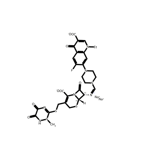 CCn1cc(C(=O)[O-])c(=O)c2cc(F)c(N3CCN(/C=N\[C@H]4C(=O)N5C(C(=O)[O-])=C(CSc6nc(=O)c(=O)[nH]n6C)CS[C@@H]45)CC3)cc21.[Na+].[Na+]